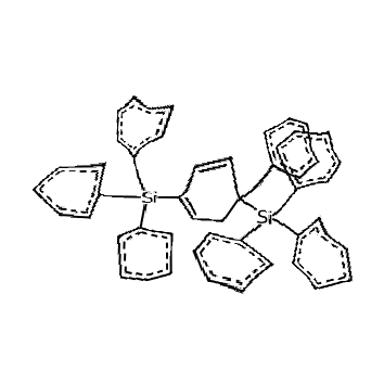 C1=CC(c2ccccc2)([Si](c2ccccc2)(c2ccccc2)c2ccccc2)CC=C1[Si](c1ccccc1)(c1ccccc1)c1ccccc1